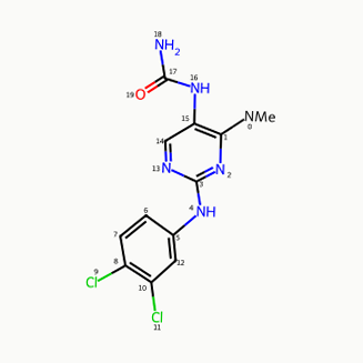 CNc1nc(Nc2ccc(Cl)c(Cl)c2)ncc1NC(N)=O